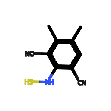 Cc1cc(C#N)c(NS)c(C#N)c1C